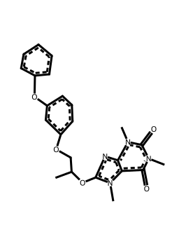 CC(COc1cccc(Oc2ccccc2)c1)Oc1nc2c(c(=O)n(C)c(=O)n2C)n1C